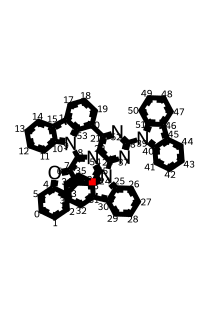 c1ccc2c(c1)oc1c(-n3c4ccccc4c4cccc(-c5cc(-n6c7ccccc7c7ccccc76)nc(-n6c7ccccc7c7ccccc76)n5)c43)nccc12